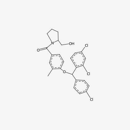 Cc1cc(C(=O)N2CCCC2CO)ccc1OC(c1ccc(Cl)cc1)c1ccc(Cl)cc1Cl